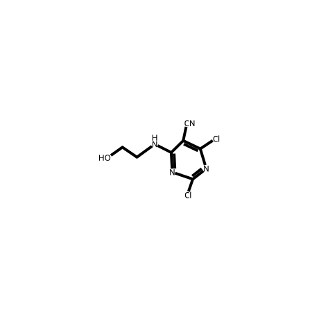 N#Cc1c(Cl)nc(Cl)nc1NCCO